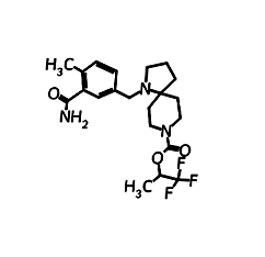 Cc1ccc(CN2CCCC23CCN(C(=O)OC(C)C(F)(F)F)CC3)cc1C(N)=O